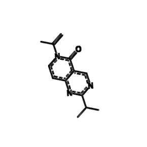 C=C(C)n1ccc2nc(C(C)C)ncc2c1=O